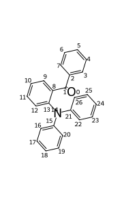 O=C(c1ccccc1)c1ccccc1N(c1ccccc1)c1ccccc1